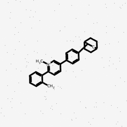 Cc1ccccc1-c1ccc(-c2ccc(C3CC4CCC3CC4)cc2)c[n+]1C